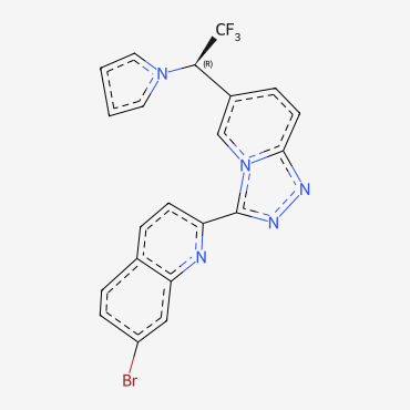 FC(F)(F)[C@@H](c1ccc2nnc(-c3ccc4ccc(Br)cc4n3)n2c1)n1cccc1